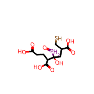 O=[PH2]C(O)(CC(CS)C(=O)O)C(CCC(=O)O)C(=O)O